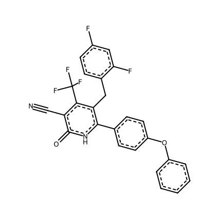 N#Cc1c(C(F)(F)F)c(Cc2ccc(F)cc2F)c(-c2ccc(Oc3ccccc3)cc2)[nH]c1=O